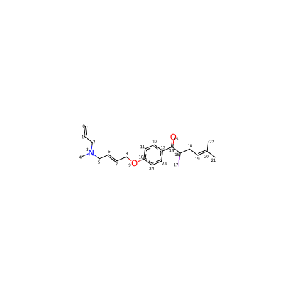 C=CCN(C)CC=CCOc1ccc(C(=O)C(I)CC=C(C)C)cc1